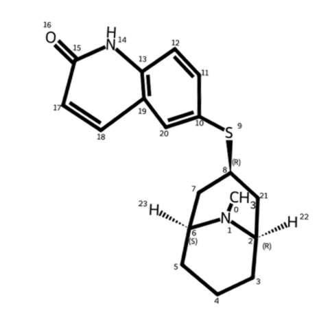 CN1[C@@H]2CCC[C@H]1C[C@@H](Sc1ccc3[nH]c(=O)ccc3c1)C2